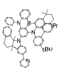 CC(C)C1CCC(C)(C)c2cc3c(cc21)N(c1ccc(C(C)(C)C)cc1-c1ccccc1)c1cc(N2c4ccc(-c5ccccn5)cc4C4(C)CCc5ccccc5C24C)cc2c1B3c1ccccc1N2c1ccccc1